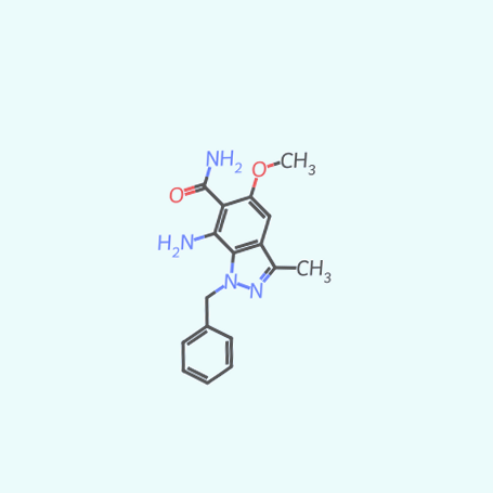 COc1cc2c(C)nn(Cc3ccccc3)c2c(N)c1C(N)=O